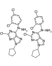 NN(c1ccc(Cl)cc1Cl)c1nc(Cl)nc2c1ncn2C1CCCC1.NN(c1ccc(Cl)cc1Cl)c1nc(Cl)nc2c1ncn2C1CCCC1